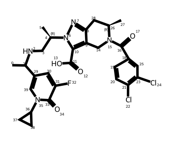 CC(NC[C@@H](C)n1nc2c(c1C(=O)O)CN(C(=O)c1ccc(Cl)c(Cl)c1)[C@H](C)C2)c1cc(F)c(=O)n(C2CC2)c1